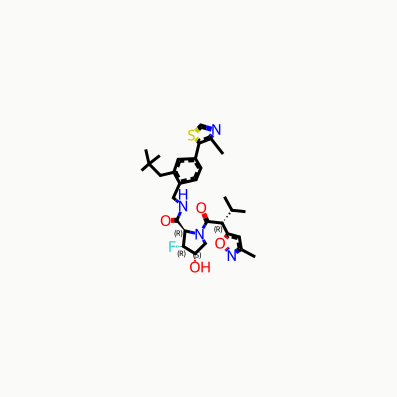 Cc1cc([C@H](C(=O)N2C[C@H](O)[C@H](F)[C@H]2C(=O)NCc2ccc(-c3scnc3C)cc2CC(C)(C)C)C(C)C)on1